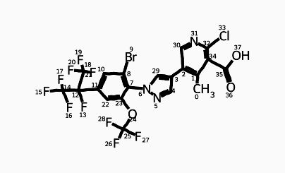 Cc1c(-c2cnn(-c3c(Br)cc(C(F)(C(F)(F)F)C(F)(F)F)cc3OC(F)(F)F)c2)cnc(Cl)c1C(=O)O